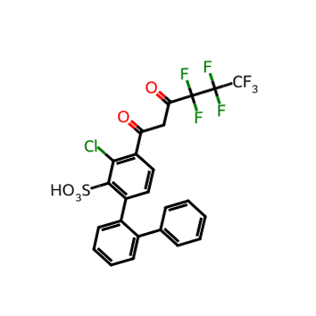 O=C(CC(=O)C(F)(F)C(F)(F)C(F)(F)F)c1ccc(-c2ccccc2-c2ccccc2)c(S(=O)(=O)O)c1Cl